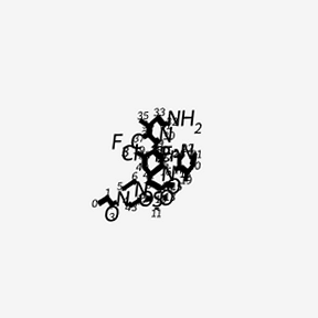 C=CC(=O)N1CCN(c2c(S(C)(=O)=O)c(=O)n(-c3c(C)ccnc3C(C)C)c3c(F)c(-c4nc(N)cc(C)c4C(F)(F)F)c(Cl)cc23)CC1